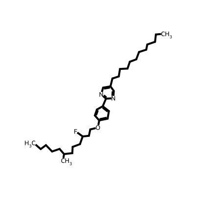 CCCCCCCCCCCCc1cnc(-c2ccc(OCCC(F)CCCC(C)CCCCC)cc2)nc1